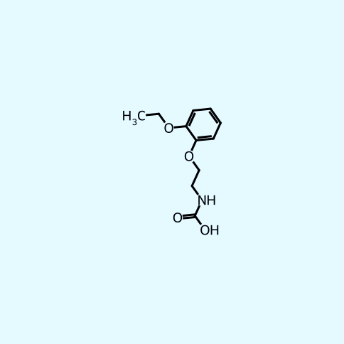 CCOc1ccccc1OCCNC(=O)O